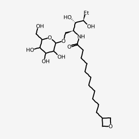 CC[C@@H](O)[C@@H](O)[C@H](COC1OC(CO)C(O)C(O)C1O)NC(=O)CCCCCCCCCCC1COC1